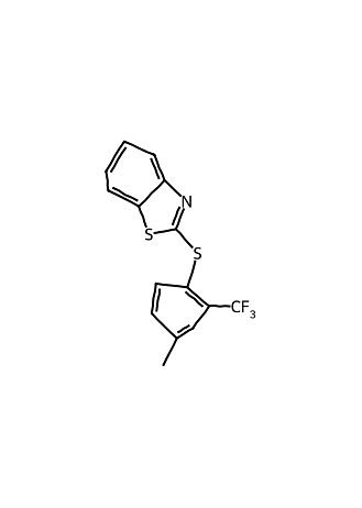 Cc1ccc(Sc2nc3ccccc3s2)c(C(F)(F)F)c1